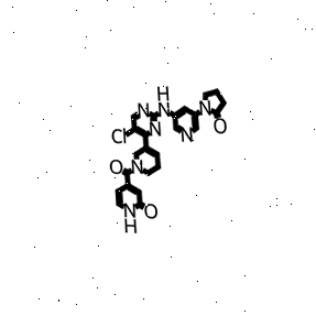 O=C(c1cc[nH]c(=O)c1)N1CCC=C(c2nc(Nc3cncc(N4CCCC4=O)c3)ncc2Cl)C1